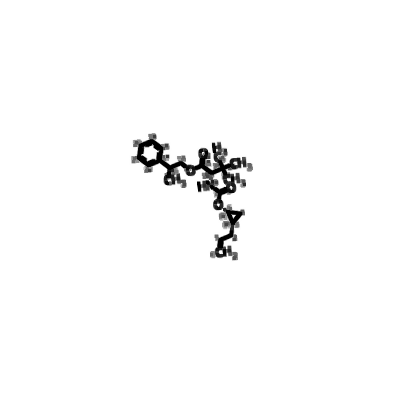 C=CC[C@@H]1C[C@H]1OC(=O)N[C@H](C(=O)OC[C@@H](C)c1ccccc1)C(C)(C)C